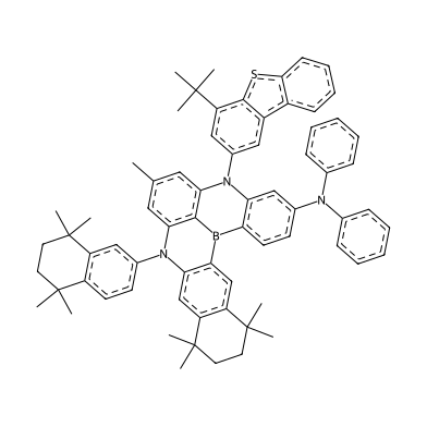 Cc1cc2c3c(c1)N(c1ccc4c(c1)C(C)(C)CCC4(C)C)c1cc4c(cc1B3c1ccc(N(c3ccccc3)c3ccccc3)cc1N2c1cc(C(C)(C)C)c2sc3ccccc3c2c1)C(C)(C)CCC4(C)C